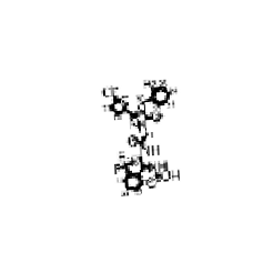 O=C(O)NC(CNC(=O)Cn1nc(-c2ccc(Cl)s2)n(Cc2ccccc2F)c1=O)c1ccccc1C(F)(F)F